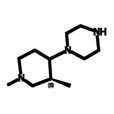 C[C@H]1CN(C)CCC1N1CCNCC1